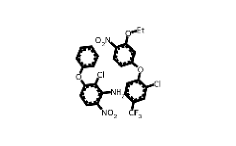 CCOc1cc(Oc2ccc(C(F)(F)F)cc2Cl)ccc1[N+](=O)[O-].Nc1c([N+](=O)[O-])ccc(Oc2ccccc2)c1Cl